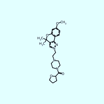 COc1ccc2c(c1)OC(C)(C)c1cn(CCN3CCN(C(=O)C4CCCO4)CC3)nc1-2